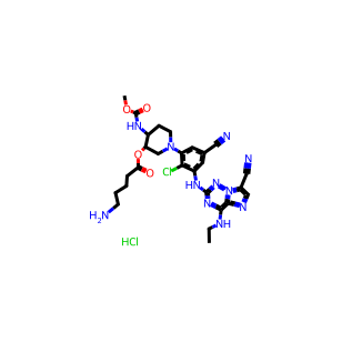 CCNc1nc(Nc2cc(C#N)cc(N3CCC(NC(=O)OC)C(OC(=O)CCCCN)C3)c2Cl)nn2c(C#N)cnc12.Cl